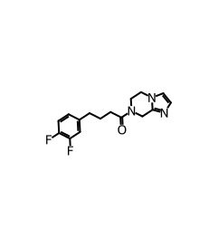 O=C(CCCc1ccc(F)c(F)c1)N1CCn2ccnc2C1